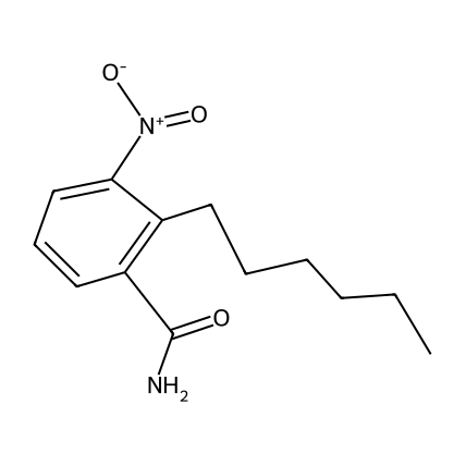 CCCCCCc1c(C(N)=O)cccc1[N+](=O)[O-]